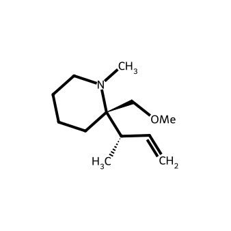 C=C[C@H](C)[C@]1(COC)CCCCN1C